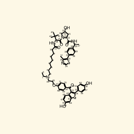 CCN(CCCCCCCCC(=O)N[C@H](C(=O)N1C[C@@H](O)C[C@H]1C(=O)N[C@@H](C)c1ccc(-c2scnc2C)cc1)C(C)(C)C)CCOc1ccc(C(=O)c2c(-c3ccc(O)cc3)sc3cc(O)ccc23)cc1